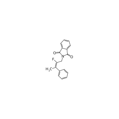 CC(=C(F)CN1C(=O)c2ccccc2C1=O)c1ccccc1